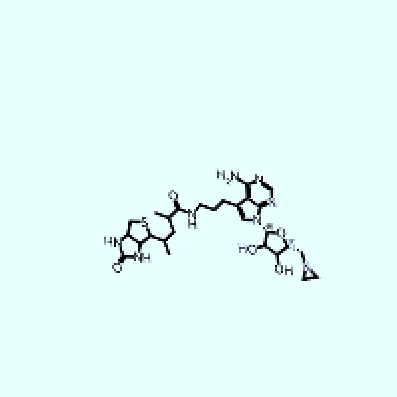 CC(CC(C)C1SCC2NC(=O)NC21)C(=O)NCCCc1cn([C@@H]2O[C@H](CN3CC3)C(O)C2O)c2ncnc(N)c12